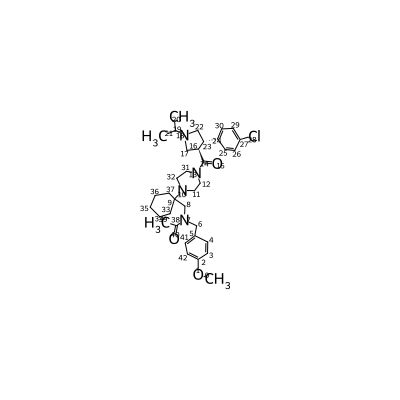 COc1ccc(CN(CC2(N3CCN(C(=O)[C@H]4CN(C(C)C)C[C@@H]4c4ccc(Cl)cc4)CC3)CCCCC2)C(C)=O)cc1